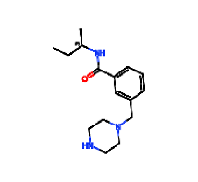 CC[C@@H](C)NC(=O)c1cccc(CN2CCNCC2)c1